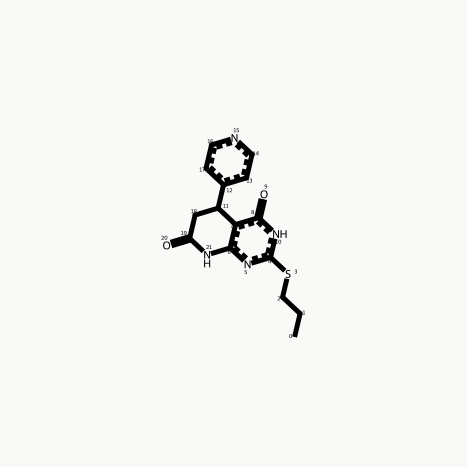 CCCSc1nc2c(c(=O)[nH]1)C(c1ccncc1)CC(=O)N2